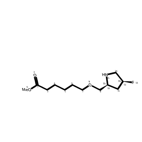 COC(=O)CCCCCOC[C@@H]1C[C@H](F)CN1